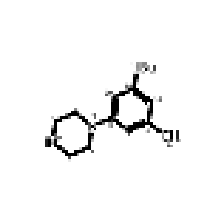 Cc1cc(N2CCNCC2)cc(C(C)(C)C)c1